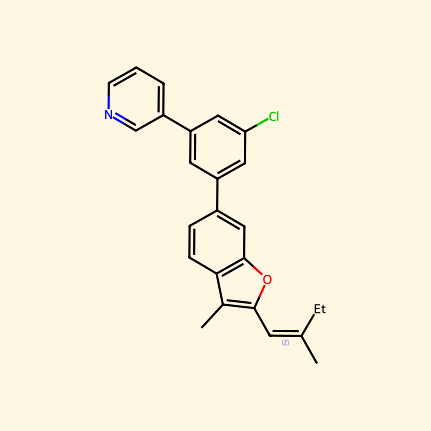 CC/C(C)=C\c1oc2cc(-c3cc(Cl)cc(-c4cccnc4)c3)ccc2c1C